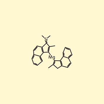 CC1=[C]([Mg][C]2=C(C)C(=[Si](C)C)c3ccc4ccccc4c32)c2c(ccc3ccccc23)C1